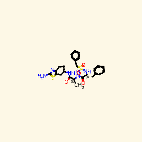 C[C@H](NC(=O)[C@@H](Cc1ccccc1)NS(=O)(=O)Cc1ccccc1)C(=O)NC1CCc2nc(N)sc2C1